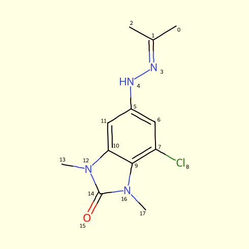 CC(C)=NNc1cc(Cl)c2c(c1)n(C)c(=O)n2C